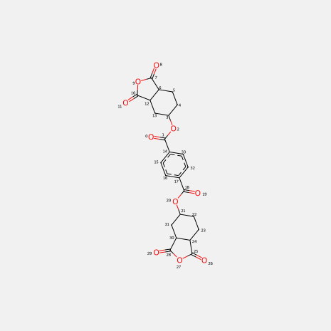 O=C(OC1CCC2C(=O)OC(=O)C2C1)c1ccc(C(=O)OC2CCC3C(=O)OC(=O)C3C2)cc1